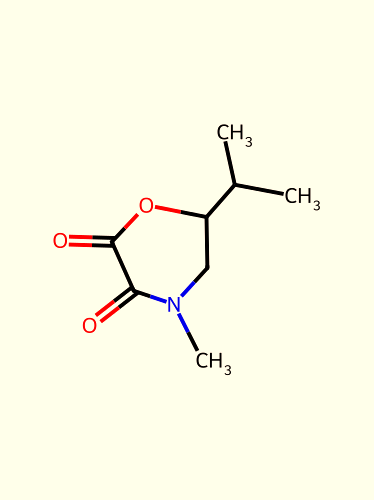 CC(C)C1CN(C)C(=O)C(=O)O1